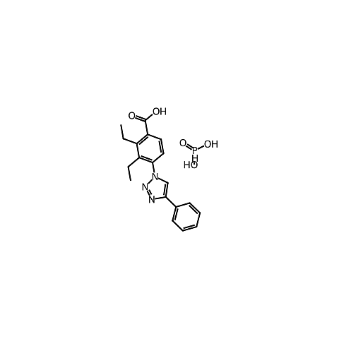 CCc1c(C(=O)O)ccc(-n2cc(-c3ccccc3)nn2)c1CC.O=[PH](O)O